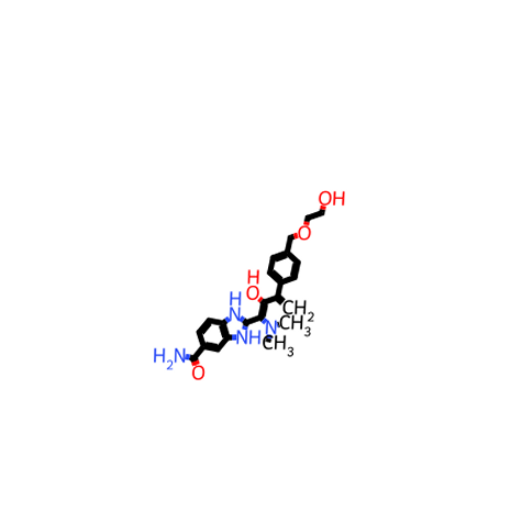 C=C(/C(O)=C(/C1Nc2ccc(C(N)=O)cc2N1)N(C)C)c1ccc(COCCO)cc1